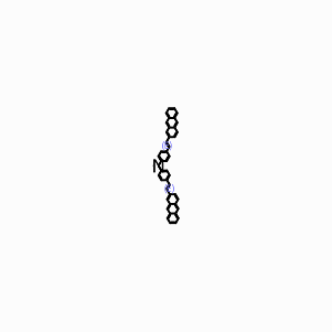 CN(c1ccc(/C=C/c2ccc3cc4ccccc4cc3c2)cc1)c1ccc(/C=C/c2ccc3cc4ccccc4cc3c2)cc1